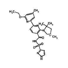 CCOc1cc(C)cc(-c2ccc(C(=O)NS(=O)(=O)c3cc[nH]n3)c(N3C[C@@H](C)CC3(C)C)n2)n1